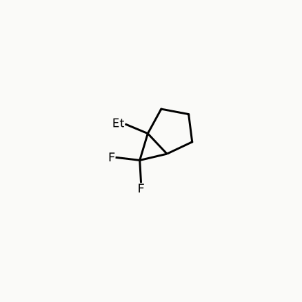 CCC12CCCC1C2(F)F